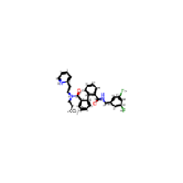 O=C(O)CCN(CCc1ccccn1)C(=O)c1ccccc1-c1ccccc1C(=O)NCc1cc(F)cc(F)c1